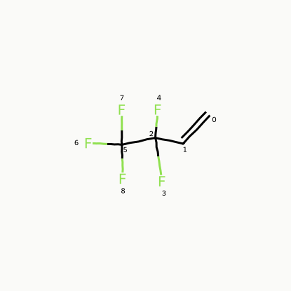 C=CC(F)(F)C(F)(F)F